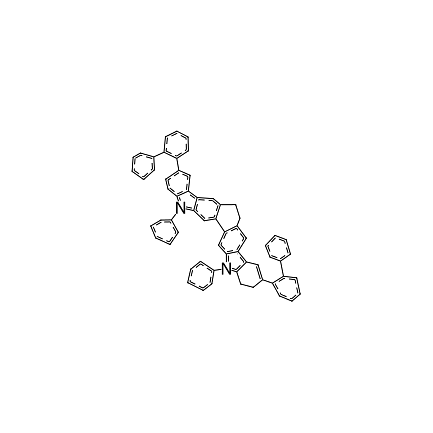 C1=C(c2ccccc2-c2ccccc2)CCc2c1c1cc3c(cc1n2-c1ccccc1)-c1cc2c(cc1CC3)c1cc(-c3ccccc3-c3ccccc3)ccc1n2-c1ccccc1